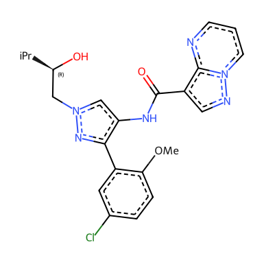 COc1ccc(Cl)cc1-c1nn(C[C@H](O)C(C)C)cc1NC(=O)c1cnn2cccnc12